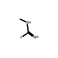 CNC(=N)F